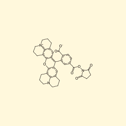 O=C(ON1C(=O)CCC1=O)c1ccc(C(=O)[O-])c(C2=c3cc4c5c(c3Oc3c2cc2c6c3CCCN6CCC2)CCC[N+]=5CCC4)c1